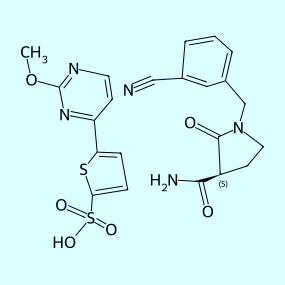 COc1nccc(-c2ccc(S(=O)(=O)O)s2)n1.N#Cc1cccc(CN2CC[C@@H](C(N)=O)C2=O)c1